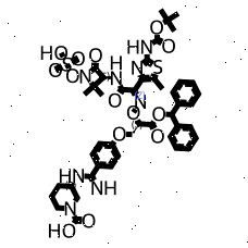 Cc1sc(NC(=O)OC(C)(C)C)nc1/C(=N/O[C@@H](COc1ccc(C(=N)N[C@@H]2CCCN(C(=O)O)C2)cc1)C(=O)OC(c1ccccc1)c1ccccc1)C(=O)N[C@@H]1C(=O)N(OS(=O)(=O)O)C1(C)C